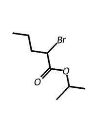 CCCC(Br)C(=O)OC(C)C